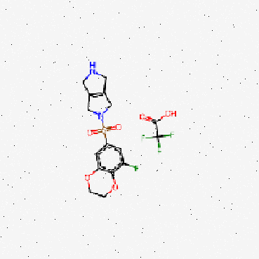 O=C(O)C(F)(F)F.O=S(=O)(c1cc(F)c2c(c1)OCCO2)N1CC2=C(CNC2)C1